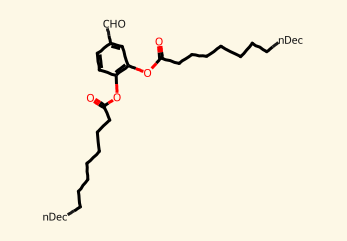 CCCCCCCCCCCCCCCCCC(=O)Oc1ccc(C=O)cc1OC(=O)CCCCCCCCCCCCCCCCC